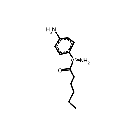 CCCCCC(=O)[As](N)c1ccc(N)cc1